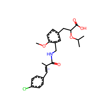 COc1ccc(CC(OC(C)C)C(=O)O)cc1CNC(=O)/C(C)=C/c1ccc(Cl)cc1